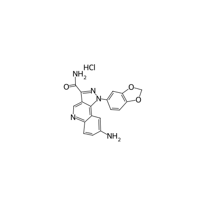 Cl.NC(=O)c1nn(-c2ccc3c(c2)OCO3)c2c1cnc1ccc(N)cc12